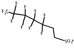 O=S(=O)(O)CCC(F)(F)C(F)(F)C(F)(F)C(F)(F)C(F)(F)F